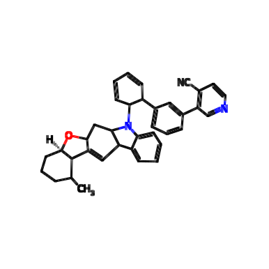 CC1CCC[C@H]2OC3CC4C(C=C3C12)c1ccccc1N4C1C=CC=CC1c1cccc(-c2cnccc2C#N)c1